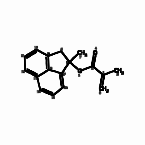 C=C(C)C(=O)OC1(C)Cc2cccc3cccc1c23